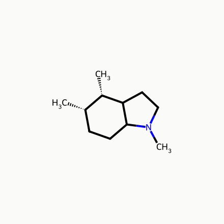 C[C@@H]1C2CCN(C)C2CC[C@@H]1C